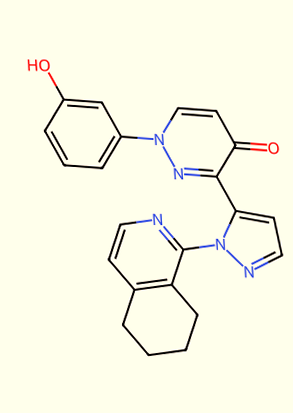 O=c1ccn(-c2cccc(O)c2)nc1-c1ccnn1-c1nccc2c1CCCC2